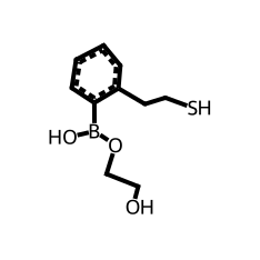 OCCOB(O)c1ccccc1CCS